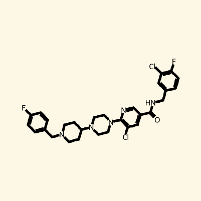 O=C(NCc1ccc(F)c(Cl)c1)c1cnc(N2CCN(C3CCN(Cc4ccc(F)cc4)CC3)CC2)c(Cl)c1